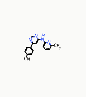 N#Cc1ccc(-c2cc(Nc3cccc(C(F)(F)F)n3)ncn2)cc1